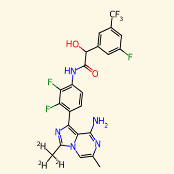 [2H]C([2H])([2H])c1nc(-c2ccc(NC(=O)C(O)c3cc(F)cc(C(F)(F)F)c3)c(F)c2F)c2c(N)nc(C)cn12